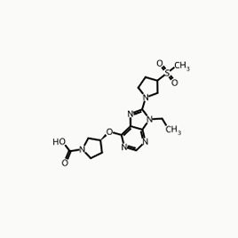 CCn1c(N2CCC(S(C)(=O)=O)C2)nc2c(O[C@H]3CCN(C(=O)O)C3)ncnc21